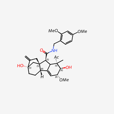 C=C1C[C@]23C[C@@]1(O)CC[C@H]2C1=C[C@@H](OC)[C@H](O)[C@@](C)(C(C)=O)C1[C@@H]3C(=O)NCc1ccc(OC)cc1OC